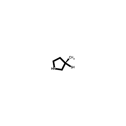 C[C@]1(S)CCNC1